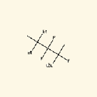 CCC(C)(CC)C(F)(F)C(C)(F)C(C)(C)C